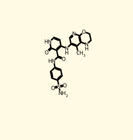 Cc1c(Nc2cc[nH]c(=O)c2C(=O)Nc2ccc(S(N)(=O)=O)cc2)cnc2c1NCCO2